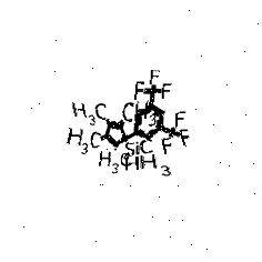 CC1=[C]C(c2cc(C(F)(F)F)cc(C(F)(F)F)c2)([SiH](C)C)C(C)=C1C